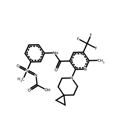 Cc1nc(N2CCC3(CC2)CC3)c(C(=O)Nc2cccc(S(C)(=O)=NC(=O)O)c2)cc1C(F)(F)F